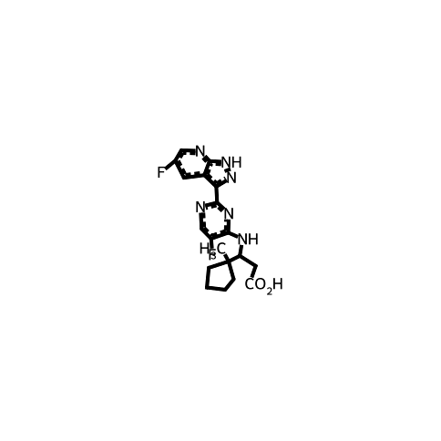 CC1(C(CC(=O)O)Nc2nc(-c3n[nH]c4ncc(F)cc34)ncc2F)CCCC1